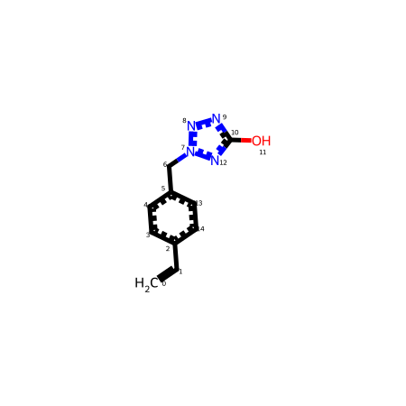 C=Cc1ccc(Cn2nnc(O)n2)cc1